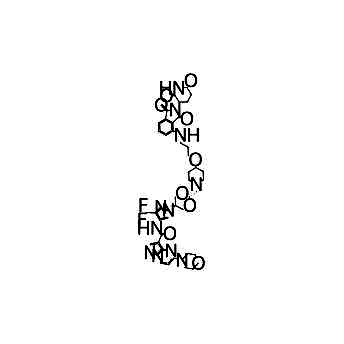 O=C1CCC(N2C(=O)c3cccc(NCCCOC4CCN(C[C@H]5OC[C@H](n6cc(NC(=O)c7cnn8ccc(N9CCOCC9)nc78)c(C(F)F)n6)CO5)CC4)c3C2=O)C(=O)N1